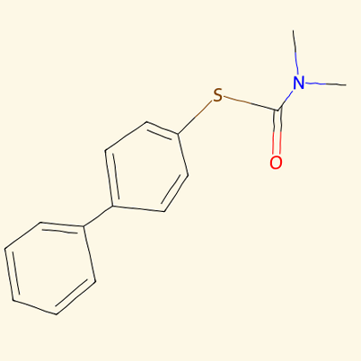 CN(C)C(=O)Sc1ccc(-c2ccccc2)cc1